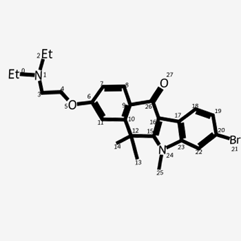 CCN(CC)CCOc1ccc2c(c1)C(C)(C)c1c(c3ccc(Br)cc3n1C)C2=O